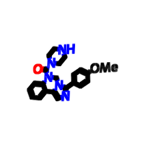 COc1ccc(-c2ncc3n2CN(C(=O)N2CCNCC2)c2ccccc2-3)cc1